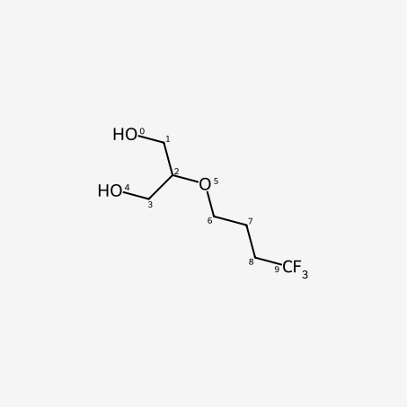 OCC(CO)OCCCC(F)(F)F